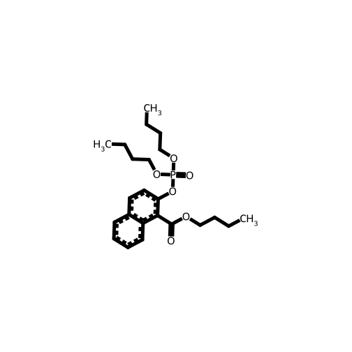 CCCCOC(=O)c1c(OP(=O)(OCCCC)OCCCC)ccc2ccccc12